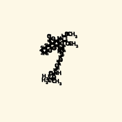 COCCN(CCOC)Cc1c(OCc2cn(CCOCCOCCNC(=O)OC(C)(C)C)nn2)ccc2c(-c3cc4ccccc4oc3=O)cc(=O)oc12